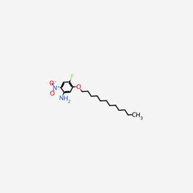 CCCCCCCCCCCCOc1cc(N)c([N+](=O)[O-])cc1F